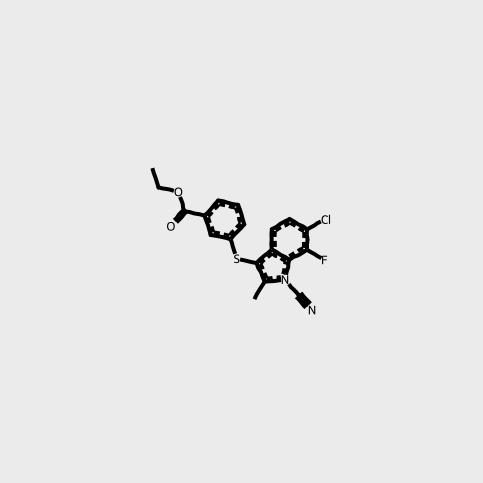 CCOC(=O)c1cccc(Sc2c(C)n(C#N)c3c(F)c(Cl)ccc23)c1